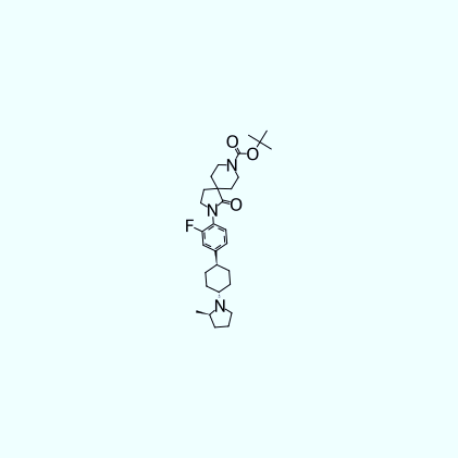 C[C@@H]1CCCN1[C@H]1CC[C@H](c2ccc(N3CCC4(CCN(C(=O)OC(C)(C)C)CC4)C3=O)c(F)c2)CC1